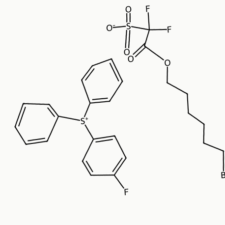 Fc1ccc([S+](c2ccccc2)c2ccccc2)cc1.O=C(OCCCCCCBr)C(F)(F)S(=O)(=O)[O-]